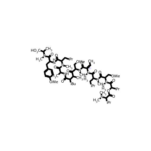 C/C=C(\C(=O)N(C)C(COC)C(=O)C(C)C(C(=O)NC(C)C(=O)N(C)C(CC(C)C)C(=O)NC(Cc1ccc(OC)cc1)C(=O)N(C)C(C)C(=O)O)C(C)CC)N(C)C(=O)C(CC(C)C)N(C)C(=O)C(COC)N(C)C(=O)C(OC(=O)C(C(C)C)N(C)C)C(C)C